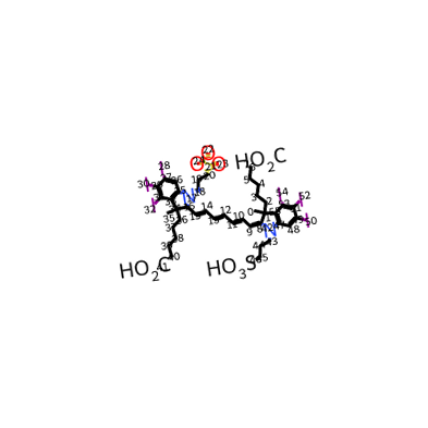 CC1(CCCCCC(=O)O)C(=CC=CC=CC=CC2=[N+](CCCS(=O)(=O)[O-])c3cc(I)c(I)c(I)c3C2(C)CCCCCC(=O)O)N(CCCS(=O)(=O)O)c2cc(I)c(I)c(I)c21